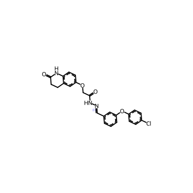 O=C(COc1ccc2c(c1)CCC(=O)N2)N/N=C/c1cccc(Oc2ccc(Cl)cc2)c1